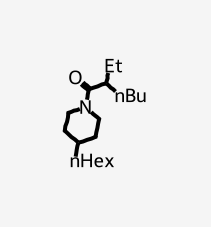 CCCCCCC1CCN(C(=O)C(CC)CCCC)CC1